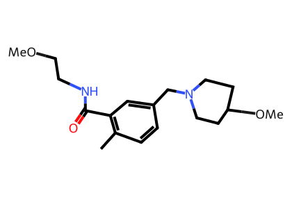 COCCNC(=O)c1cc(CN2CCC(OC)CC2)ccc1C